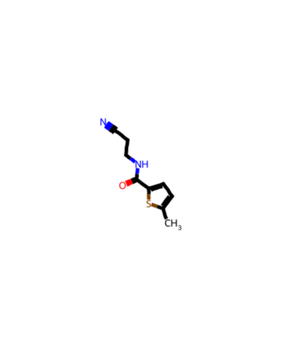 Cc1ccc(C(=O)NCCC#N)s1